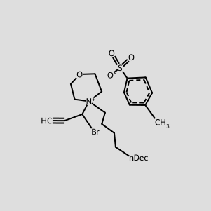 C#CC(Br)[N+]1(CCCCCCCCCCCCCC)CCOCC1.Cc1ccc(S(=O)(=O)[O-])cc1